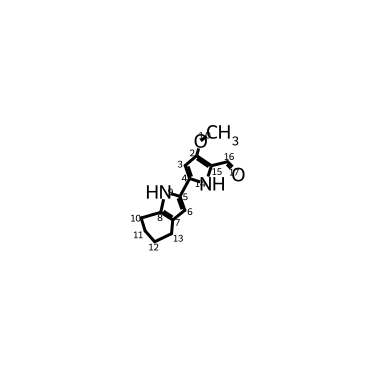 COc1cc(-c2cc3c([nH]2)CCCC3)[nH]c1C=O